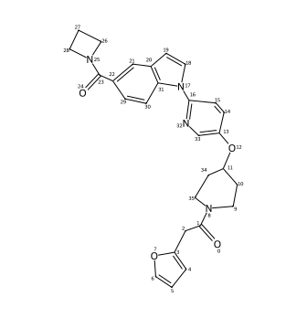 O=C(Cc1ccco1)N1CCC(Oc2ccc(-n3ccc4cc(C(=O)N5CCC5)ccc43)nc2)CC1